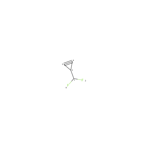 FC(F)C1C#C1